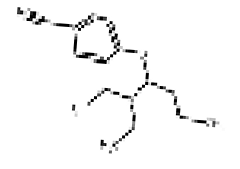 CCCC(Oc1ccc(C#N)cc1)N(CC)CC